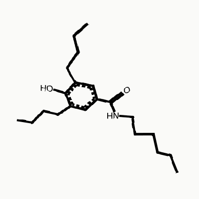 CCCCCCNC(=O)c1cc(CCCC)c(O)c(CCCC)c1